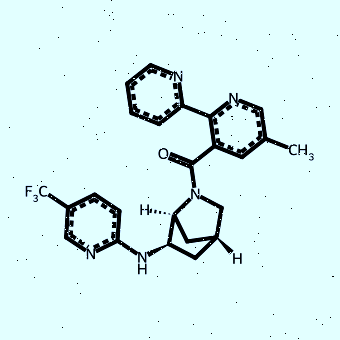 Cc1cnc(-c2ccccn2)c(C(=O)N2C[C@@H]3C[C@@H](Nc4ccc(C(F)(F)F)cn4)[C@@H]2C3)c1